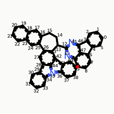 c1ccc2c(c1)-c1cccc3nc(C4CCc5cc6ccccc6cc5-c5cc6c7ccccc7n7c8ccccc8c(c54)c67)nc-2c13